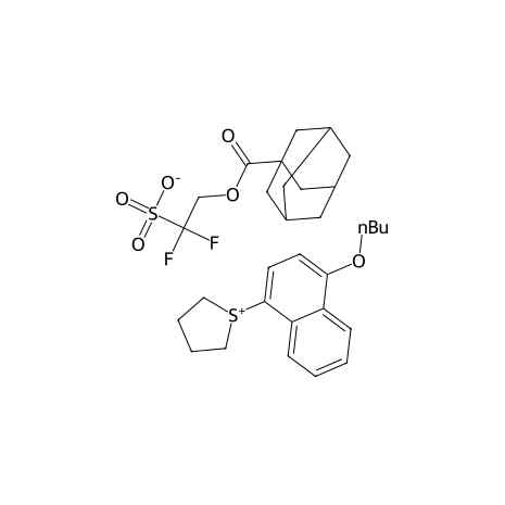 CCCCOc1ccc([S+]2CCCC2)c2ccccc12.O=C(OCC(F)(F)S(=O)(=O)[O-])C12CC3CC(CC(C3)C1)C2